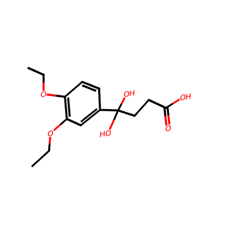 CCOc1ccc(C(O)(O)CCC(=O)O)cc1OCC